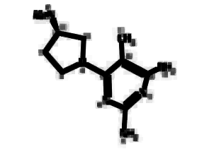 CN[C@@H]1CCN(c2nc(N)nc(N)c2C)C1